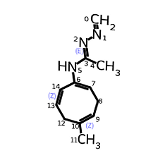 C=N/N=C(\C)NC1=CC/C=C(/C)C/C=C\1